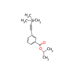 CC(C)OC(=O)c1cccc(C#C[Si](C)(C)C)c1